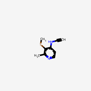 C#CNc1ccnc(C)c1SC